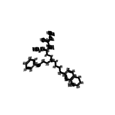 CC(C)(C)OC(=O)N[C@@H](CCN(CCCCc1ccc2c(n1)NCCC2)CCOc1ccccc1)C(=O)O